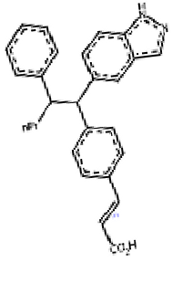 CCCC(c1ccccc1)C(c1ccc(/C=C/C(=O)O)cc1)c1ccc2[nH]ncc2c1